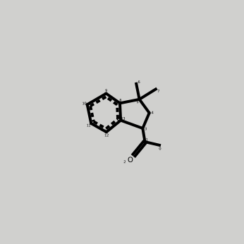 CC(=O)C1CC(C)(C)c2ccccc21